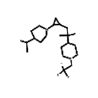 CC(C)C1CCN(C2CC2CC(C)(C)C2CCN(CC(F)(F)F)CC2)CC1